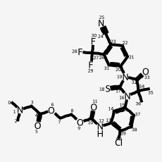 CN(C)CC(=O)OCCOC(=O)Nc1cc(N2C(=S)N(c3ccc(C#N)c(C(F)(F)F)c3)C(=O)C2(C)C)ccc1Cl